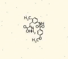 COc1ccc(S(=O)(=O)Nc2ccc(C)c(C[C@H](N)C(=O)O)c2)cc1